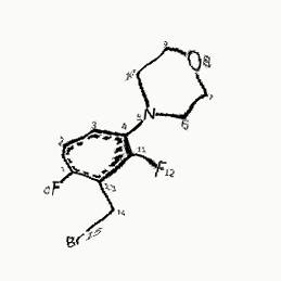 Fc1ccc(N2CCOCC2)c(F)c1CBr